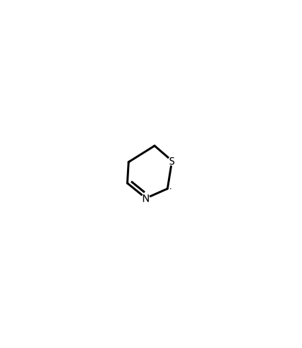 [CH]1N=CCCS1